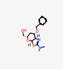 CN(C)C1=N[C@@H]2[C@@H](OCc3ccccc3)C[C@@H](CO)O[C@@H]2S1